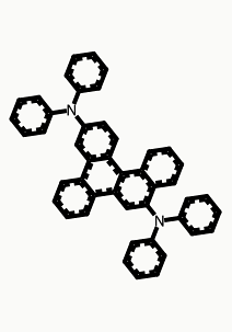 c1ccc(N(c2ccccc2)c2ccc3c(c2)c2ccccc2c2cc(N(c4ccccc4)c4ccccc4)c4ccccc4c32)cc1